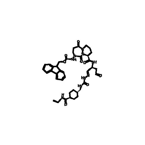 CCNC(=O)[C@H]1CC[C@H](CNC(=O)N/N=C/[C@H](CC=O)NC(=O)[C@@H]2CCCN3C(=O)CCN(NC(=O)OCC4c5ccccc5-c5ccccc54)C(=O)N23)CC1